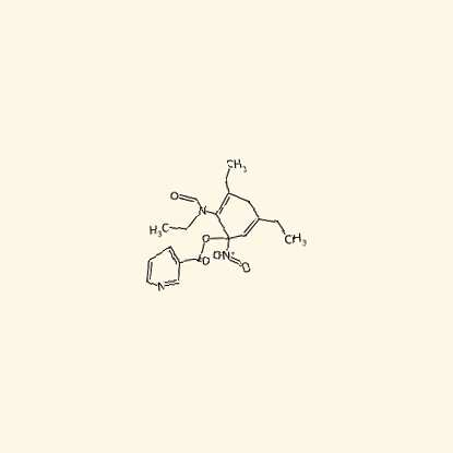 CCC1=CC(OC(=O)c2cccnc2)([N+](=O)[O-])C(N(C=O)CC)=C(CC)C1